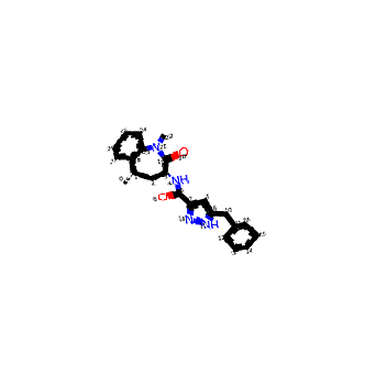 C[C@H]1C[C@@H](NC(=O)c2cc(Cc3ccccc3)[nH]n2)C(=O)N(C)c2ccccc21